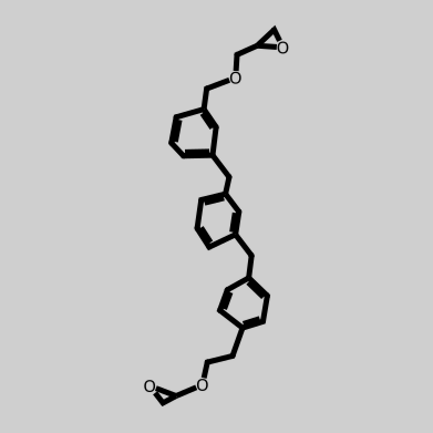 c1cc(COCC2CO2)cc(Cc2cccc(Cc3ccc(CCOC4CO4)cc3)c2)c1